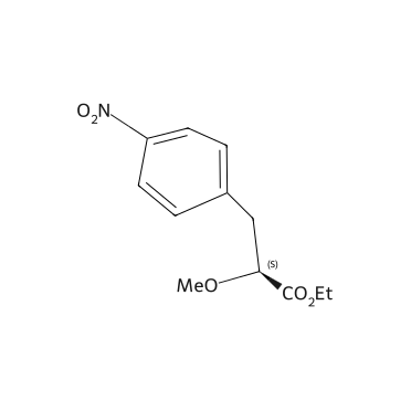 CCOC(=O)[C@H](Cc1ccc([N+](=O)[O-])cc1)OC